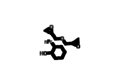 C(OCC1CO1)C1CO1.CCCC1CCCCC1O